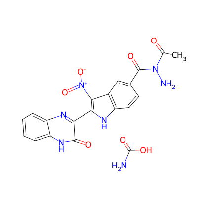 CC(=O)N(N)C(=O)c1ccc2[nH]c(-c3nc4ccccc4[nH]c3=O)c([N+](=O)[O-])c2c1.NC(=O)O